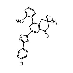 CSc1ccccc1N1CC(c2nc(-c3ccc(Cl)cc3)cs2)=CC2=C1CC(C)(C)CC2=O